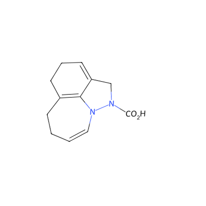 O=C(O)N1CC2=CCCC3=C2N1C=CCC3